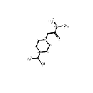 CC(S)N1CCN(CC(=O)N(C)C)CC1